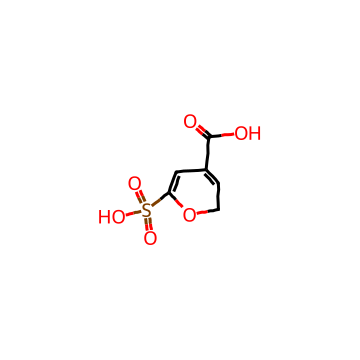 O=C(O)C1=CCOC(S(=O)(=O)O)=C1